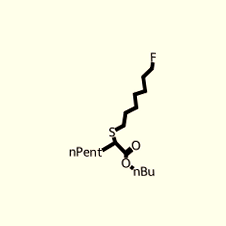 CCCCCC(SCCCCCCCF)C(=O)OCCCC